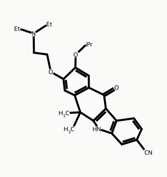 CCN(CC)CCOc1cc2c(cc1OC(C)C)C(=O)c1c([nH]c3cc(C#N)ccc13)C2(C)C